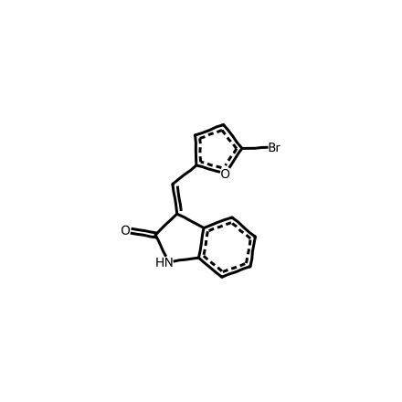 O=C1Nc2ccccc2/C1=C\c1ccc(Br)o1